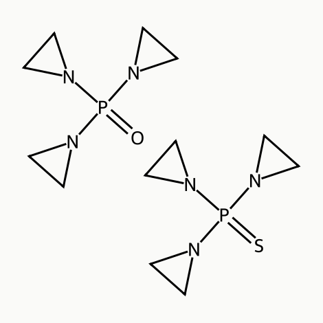 O=P(N1CC1)(N1CC1)N1CC1.S=P(N1CC1)(N1CC1)N1CC1